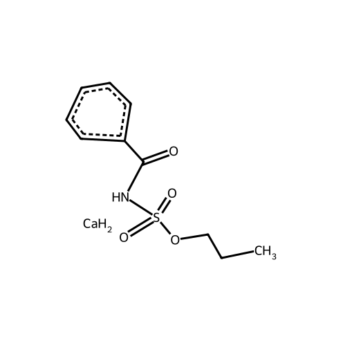 CCCOS(=O)(=O)NC(=O)c1ccccc1.[CaH2]